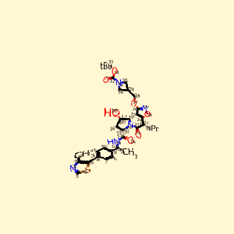 Cc1ncsc1-c1ccc([C@H](C)NC(=O)[C@@H]2C[C@@H](O)CN2C(=O)[C@@H](c2cc(OCC3CN(C(=O)OC(C)(C)C)C3)no2)C(C)C)cc1